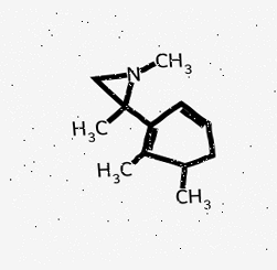 CC1=C(C2(C)CN2C)C=CCC1C